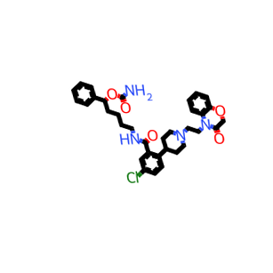 NC(=O)OC(CCCCNC(=O)c1cc(Cl)ccc1C1CCN(CCN2C(=O)COc3ccccc32)CC1)c1ccccc1